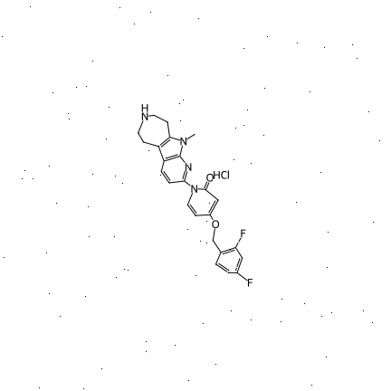 Cl.Cn1c2c(c3ccc(-n4ccc(OCc5ccc(F)cc5F)cc4=O)nc31)CCNCC2